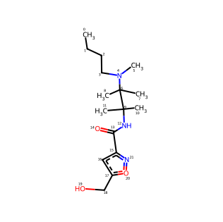 CCCCN(C)C(C)(C)C(C)(C)NC(=O)c1cc(CO)on1